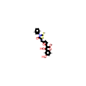 O=C1/C(=C/c2ccc(-c3c(O)c4cc(O)ccc4oc3=O)o2)SC(=S)N1C1CC2CCC1C2